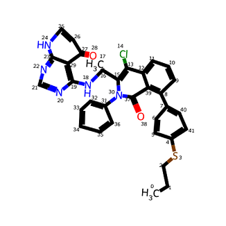 CCCSc1ccc(-c2cccc3c(Cl)c([C@H](C)Nc4ncnc5[nH]ccc(=O)c45)n(-c4ccccc4)c(=O)c23)cc1